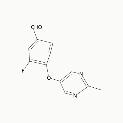 Cc1ncc(Oc2ccc(C=O)cc2F)cn1